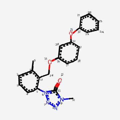 Cc1cccc(-n2nnn(C)c2=O)c1COc1cccc(Oc2ccccc2)c1